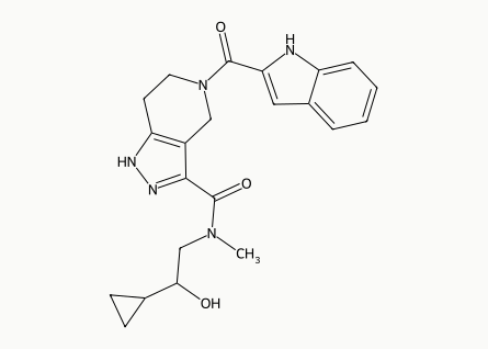 CN(CC(O)C1CC1)C(=O)c1n[nH]c2c1CN(C(=O)c1cc3ccccc3[nH]1)CC2